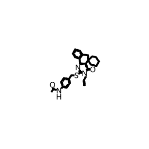 C=CCn1c(SCc2ccc(NC(C)=O)cc2)nc2c(c1=O)C1(CCCCC1)Cc1ccccc1-2